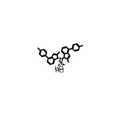 CC1=Cc2c(-c3ccc(C)cc3)cccc2[CH]1[Zr]([CH]1C(C)=Cc2c(-c3ccc(C)cc3)cccc21)[SiH](C)C.Cl.Cl